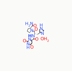 NC(=O)[C@@H]1CCCN1C(=O)[C@H](Cc1c[nH]cn1)NC(=O)c1cc(=O)[nH]c(=O)[nH]1.O